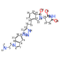 CN(C)CCn1ccc2cc(-n3cc(CCc4cccc5c4CN(C4CCC(=O)NC4=O)C5=O)nn3)ccc21